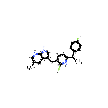 C[C](c1ccc(F)cc1)c1ccc(Cc2c[nH]c3ncc(C)cc23)c(F)n1